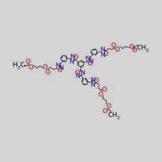 C=CC(=O)OCCCCOC(=O)CCc1nc(-c2cccc(-c3noc(-c4cc(-c5nc(-c6cccc(-c7noc(CCC(=O)OCCCCOC(=O)C=C)n7)c6)no5)cc(-c5nc(-c6cccc(-c7noc(CCC(=O)OCCCCOC(=O)C=C)n7)c6)no5)c4)n3)c2)no1